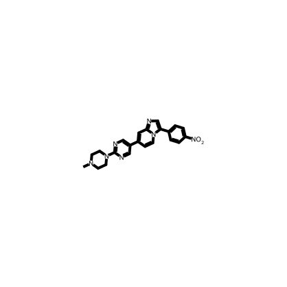 CN1CCN(c2ncc(-c3ccn4c(-c5ccc([N+](=O)[O-])cc5)cnc4c3)cn2)CC1